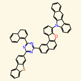 C1=CC2=C(c3nc(-c4ccc5c(c4)sc4ccccc45)nc(-c4ccc5ccc6oc7c(-n8c9ccccc9c9cc%10ccccc%10cc98)cccc7c6c5c4)n3)C=CCC2C=C1